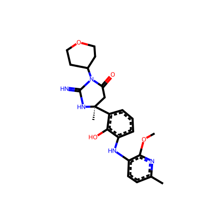 COc1nc(C)ccc1Nc1cccc([C@]2(C)CC(=O)N(C3CCOCC3)C(=N)N2)c1O